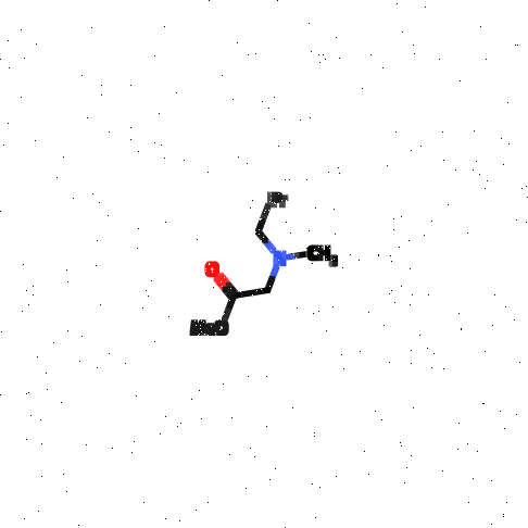 COC(=O)CN(C)CC(C)C